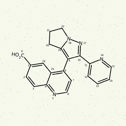 O=C(O)c1ccc2nccc(-c3c(-c4ccccn4)nn4c3CCC4)c2c1